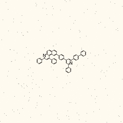 c1ccc(-c2ccc(-c3cc(-c4ccc(-c5ccc6ccc7nc(-c8ccccc8)cc(-c8ccccc8)c7c6c5)cc4)cc(-c4ccccc4)n3)cc2)cc1